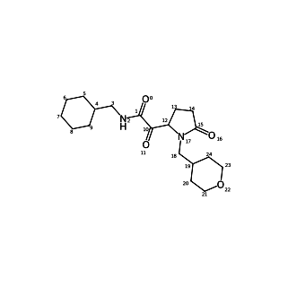 O=C(NCC1CCCCC1)C(=O)C1CCC(=O)N1CC1CCOCC1